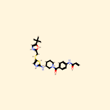 C=CC(=O)Nc1ccc(C(=O)N2CCC[C@@H](Nc3ncc(SCc4ncc(C(C)(C)C)o4)s3)C2)cc1